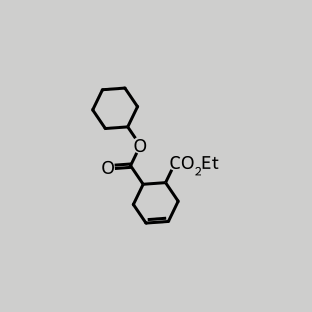 CCOC(=O)C1CC=CCC1C(=O)OC1CCCCC1